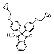 CN1c2ccccc2C(=O)C1(c1ccc(OCC2CO2)cc1)c1ccc(OCC2CO2)cc1